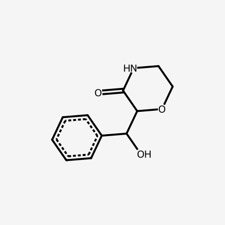 O=C1NCCOC1C(O)c1ccccc1